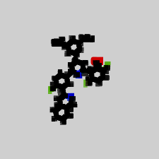 CC(C)(C)c1cc(-c2cc(-c3ccc(F)c(-c4cc5ccccc5cn4)c3)nc(-c3c(F)ccc(F)c3O)c2)cc(C(C)(C)C)c1